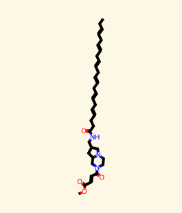 CCC=CCC=CCC=CCC=CCC=CCC=CCCC(=O)NCC1CC2CN(C(=O)C=CC(=O)OC)CCN2C1